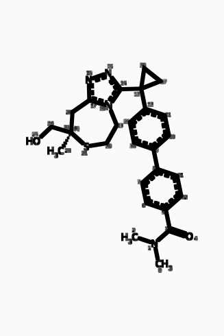 CN(C)C(=O)c1ccc(-c2ccc(C3(c4nnc5n4CCS[C@@](C)(CO)C5)CC3)cc2)cc1